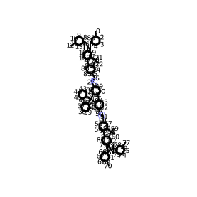 Cc1cccc(N(c2cccc(C)c2)c2ccc3c(c2)C(C)(C)c2cc(/C=C/c4ccc5c(c4)C(c4ccccc4)(c4ccccc4)c4cc(/C=C/c6ccc7c(c6)C(C)(C)c6cc(N(c8cccc(C)c8)c8cccc(C)c8)ccc6-7)ccc4-5)ccc2-3)c1